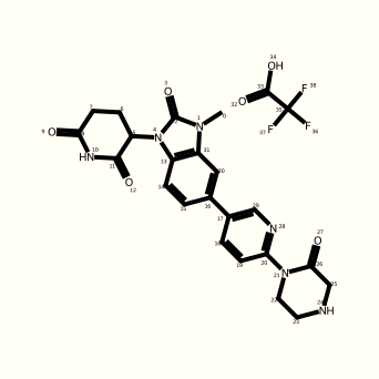 Cn1c(=O)n(C2CCC(=O)NC2=O)c2ccc(-c3ccc(N4CCNCC4=O)nc3)cc21.O=C(O)C(F)(F)F